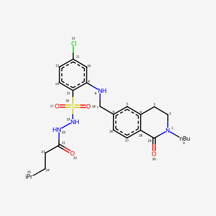 CCCCN1CCc2cc(CNc3cc(Cl)ccc3S(=O)(=O)NNC(=O)CCC(C)C)ccc2C1=O